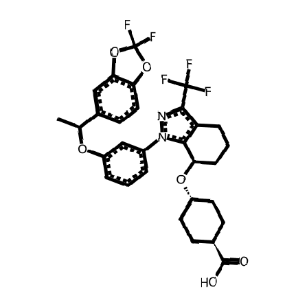 CC(Oc1cccc(-n2nc(C(F)(F)F)c3c2C(O[C@H]2CC[C@H](C(=O)O)CC2)CCC3)c1)c1ccc2c(c1)OC(F)(F)O2